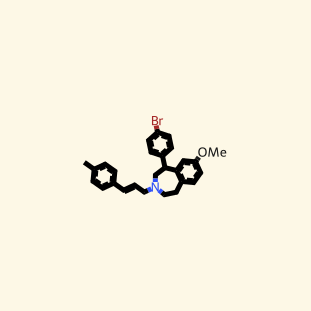 COc1ccc2c(c1)C(c1ccc(Br)cc1)CN(C/C=C/c1ccc(C)cc1)CC2